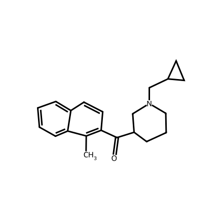 Cc1c(C(=O)C2CCCN(CC3CC3)C2)ccc2ccccc12